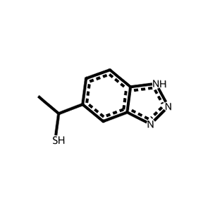 CC(S)c1ccc2[nH]nnc2c1